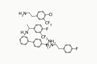 CC(N)c1ccc(-c2ccccc2)cc1.CC(N)c1ccc(F)c(C(F)(F)F)c1.NCCc1ccc(Cl)c(C(F)(F)F)c1.NCCc1ccc(F)cc1